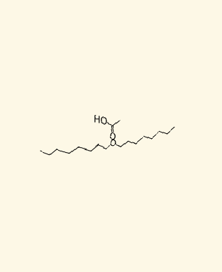 CC(=O)O.CCCCCCCCOCCCCCCCC